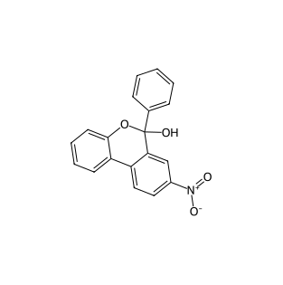 O=[N+]([O-])c1ccc2c(c1)C(O)(c1ccccc1)Oc1ccccc1-2